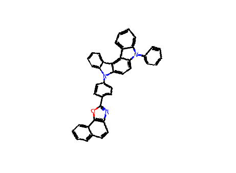 c1ccc(-n2c3ccccc3c3c4c5ccccc5n(-c5ccc(-c6nc7ccc8ccccc8c7o6)cc5)c4ccc32)cc1